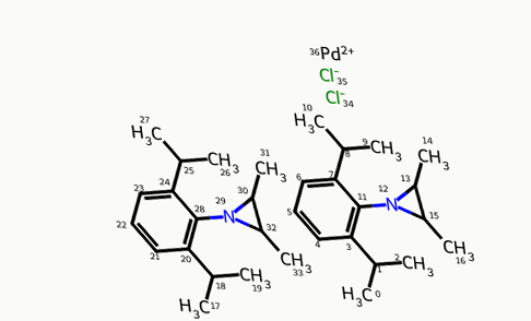 CC(C)c1cccc(C(C)C)c1N1C(C)C1C.CC(C)c1cccc(C(C)C)c1N1C(C)C1C.[Cl-].[Cl-].[Pd+2]